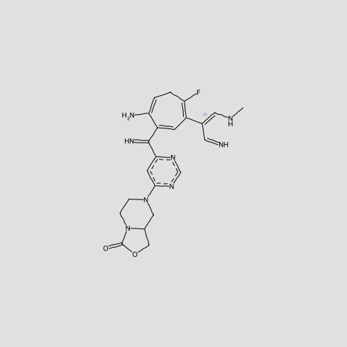 CN/C=C(\C=N)C1=C(F)CC=C(N)C(C(=N)c2cc(N3CCN4C(=O)OCC4C3)ncn2)=C1